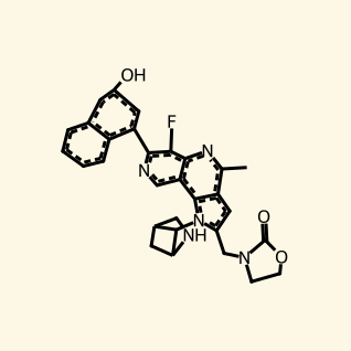 Cc1nc2c(F)c(-c3cc(O)cc4ccccc34)ncc2c2c1cc(CN1CCOC1=O)n2C1C2CNC1C2